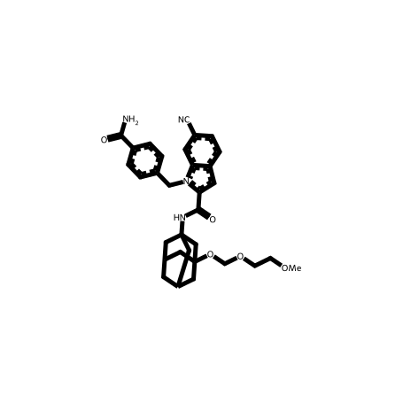 COCCOCOC12CC3CC(CC(NC(=O)c4cc5ccc(C#N)cc5n4Cc4ccc(C(N)=O)cc4)(C3)C1)C2